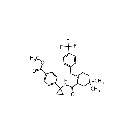 COC(=O)c1ccc(C2(NC(=O)C3CC(C)(C)CCN3Cc3ccc(C(F)(F)F)cc3)CC2)cc1